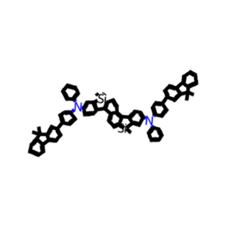 CC1(C)c2ccccc2-c2ccc(-c3ccc(N(c4ccccc4)c4ccc5c(c4)[Si](C)(C)c4ccc6c7c(ccc6c4-5)[Si](C)(C)c4cc(N(c5ccccc5)c5ccc(-c6ccc8c(c6)C(C)(C)c6ccccc6-8)cc5)ccc4-7)cc3)cc21